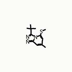 CSc1cc(C)cc2nnc(C(C)(C)C)n12